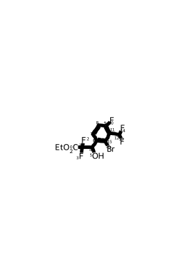 CCOC(=O)C(F)(F)C(O)c1ccc(F)c(C(F)F)c1Br